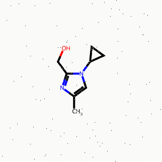 Cc1cn(C2CC2)c(CO)n1